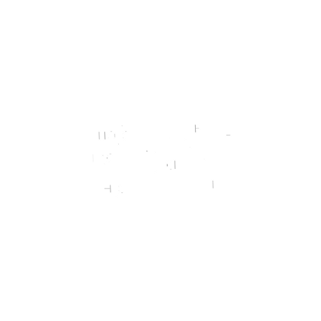 CC1(C)CC1(CC(F)(Cl)C(F)F)C(=O)O